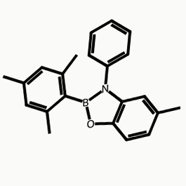 Cc1cc(C)c(B2Oc3ccc(C)cc3N2c2ccccc2)c(C)c1